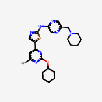 Cc1cc(-c2cnc(Nc3cnc(CN4CCCCC4)cn3)s2)nc(OC2CCCCC2)n1